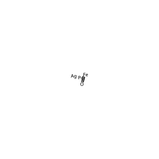 [Ag].[O]=[Fe].[Pd]